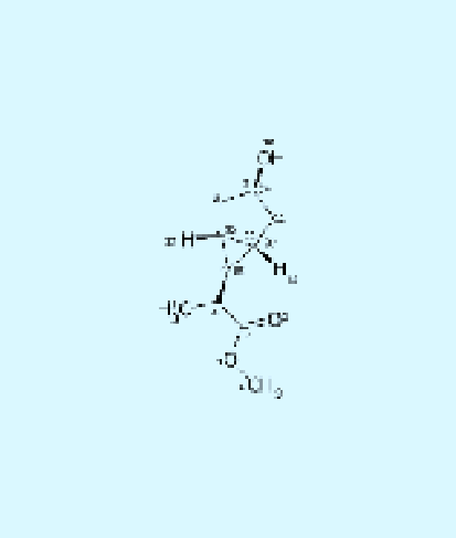 COC(=O)C(C)[C@H]1[C@@H]2C[C@@H](O)C[C@@H]21